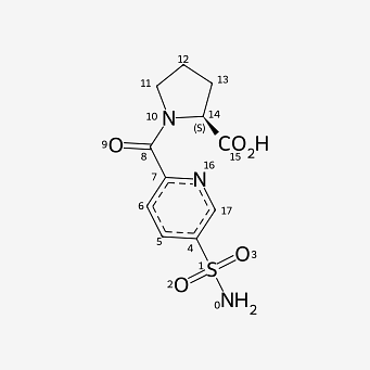 NS(=O)(=O)c1ccc(C(=O)N2CCC[C@H]2C(=O)O)nc1